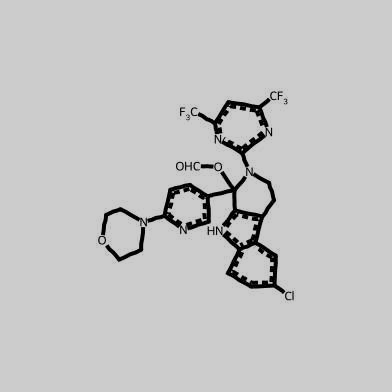 O=COC1(c2ccc(N3CCOCC3)nc2)c2[nH]c3ccc(Cl)cc3c2CCN1c1nc(C(F)(F)F)cc(C(F)(F)F)n1